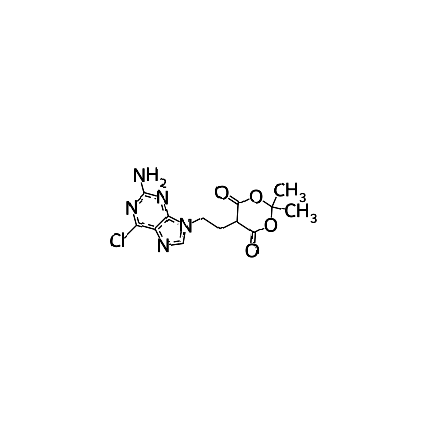 CC1(C)OC(=O)C(CCn2cnc3c(Cl)nc(N)nc32)C(=O)O1